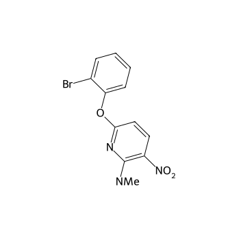 CNc1nc(Oc2ccccc2Br)ccc1[N+](=O)[O-]